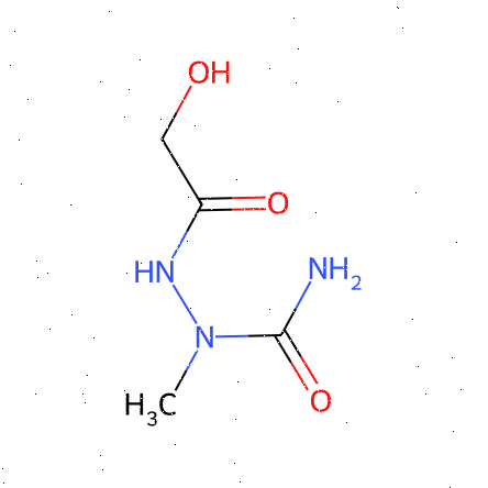 CN(NC(=O)CO)C(N)=O